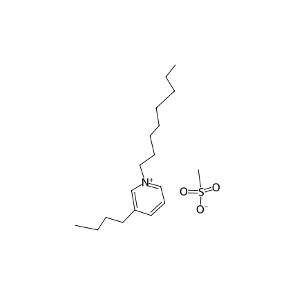 CCCCCCCC[n+]1cccc(CCCC)c1.CS(=O)(=O)[O-]